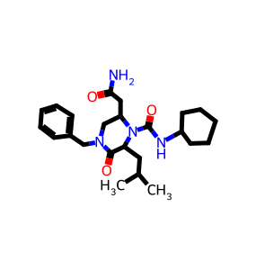 CC(C)CC1C(=O)N(Cc2ccccc2)CC(CC(N)=O)N1C(=O)NC1CCCCC1